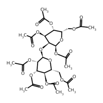 CC(=O)OC[C@@H]1O[C@@H](OC(C)=O)[C@@H](O[C@H]2O[C@H](COC(C)=O)[C@@H](OC(C)=O)[C@H](OC(C)=O)[C@@H]2OC(C)=O)[C@@H](OC(C)=O)[C@@H]1OC(C)=O